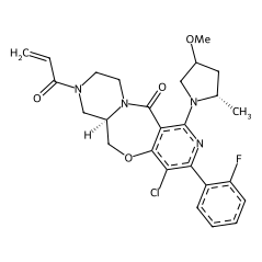 C=CC(=O)N1CCN2C(=O)c3c(N4CC(OC)C[C@@H]4C)nc(-c4ccccc4F)c(Cl)c3OC[C@H]2C1